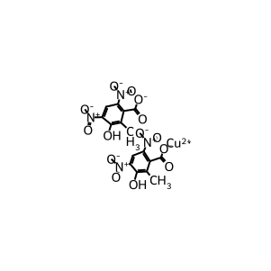 Cc1c(O)c([N+](=O)[O-])cc([N+](=O)[O-])c1C(=O)[O-].Cc1c(O)c([N+](=O)[O-])cc([N+](=O)[O-])c1C(=O)[O-].[Cu+2]